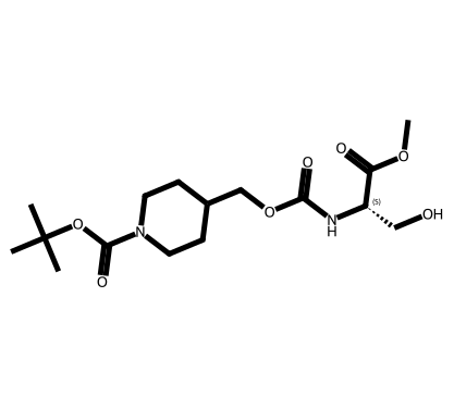 COC(=O)[C@H](CO)NC(=O)OCC1CCN(C(=O)OC(C)(C)C)CC1